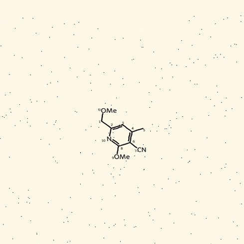 COCc1cc(C)c(C#N)c(OC)n1